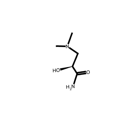 CN(C)C[C@H](O)C(N)=O